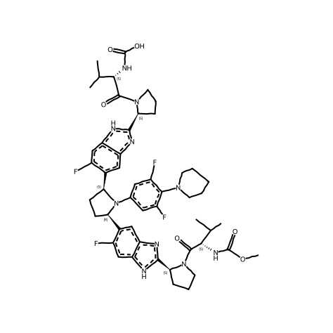 COC(=O)N[C@H](C(=O)N1CCC[C@H]1c1nc2cc([C@H]3CC[C@@H](c4cc5nc([C@@H]6CCCN6C(=O)[C@@H](NC(=O)O)C(C)C)[nH]c5cc4F)N3c3cc(F)c(N4CCCCC4)c(F)c3)c(F)cc2[nH]1)C(C)C